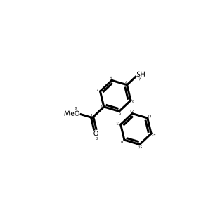 COC(=O)c1ccc(S)cc1.c1ccccc1